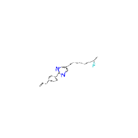 C=CCc1ccc(-c2ncc(CCCCCC(C)F)cn2)cc1